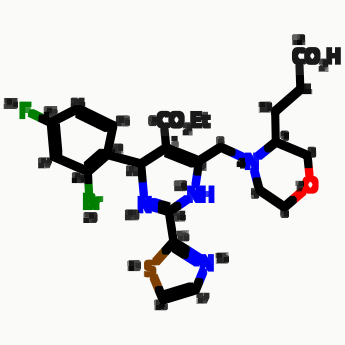 CCOC(=O)C1=C(CN2CCOCC2CCC(=O)O)NC(c2nccs2)=NC1c1ccc(F)cc1Br